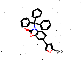 O=Cc1cc(-c2ccc3c(c2)oc(=O)n3C(c2ccccc2)(c2ccccc2)c2ccccc2)co1